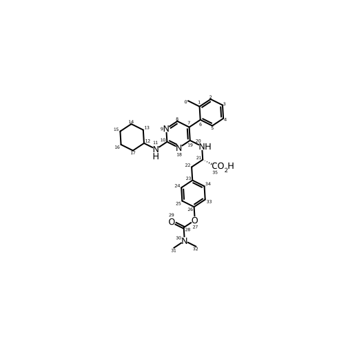 Cc1ccccc1-c1cnc(NC2CCCCC2)nc1N[C@@H](Cc1ccc(OC(=O)N(C)C)cc1)C(=O)O